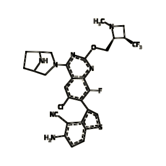 CN1C[C@@H](C(F)(F)F)[C@H]1COc1nc(N2CC3CCC(C2)N3)c2cc(Cl)c(-c3csc4ccc(N)c(C#N)c34)c(F)c2n1